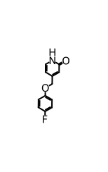 O=c1cc(COc2ccc(F)cc2)cc[nH]1